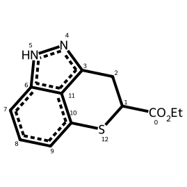 CCOC(=O)C1Cc2n[nH]c3cccc(c23)S1